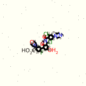 C[C@@H]1CN(C)CCN1c1cc(Cl)c(C(=O)N2COc3c(cccc3-c3cc(N4C5CCC4COC5)c(C(=O)O)cc3F)C2)c(Cl)c1.O